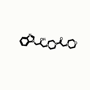 O=C(CN1CCOCC1)N1CCN(CC(O)Cn2cnc3ccccc32)CC1